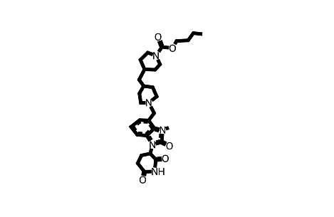 CCCCOC(=O)N1CCC(CC2CCN(Cc3cccc4c3n(C)c(=O)n4C3CCC(=O)NC3=O)CC2)CC1